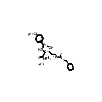 COc1ccc([C@H](CO)N[C@H](CCCNC(=O)OCc2ccccc2)C(N)=O)cc1.Cl